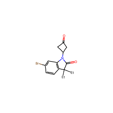 CCC1(CC)C(=O)N(C2CC(=O)C2)c2cc(Br)ccc21